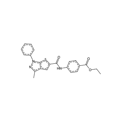 CCOC(=O)c1ccc(NC(=O)c2cc3c(C)nn(-c4ccccc4)c3s2)cc1